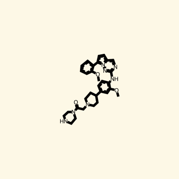 COc1cc(C2CCN(CC(=O)N3CCNCC3)CC2)ccc1Nc1ncc2ccc(-c3ccccc3OC)n2n1